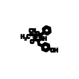 CC(C#N)NC(=O)C(Cc1ccc(O)cc1)NC(=O)c1ccccc1